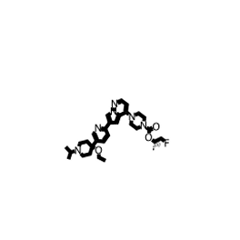 CCOC1(c2ccc(-c3cc4c(N5CCN(C(=O)O[C@@H](C)CF)CC5)ccnn4c3)nc2)CCN(C(C)C)CC1